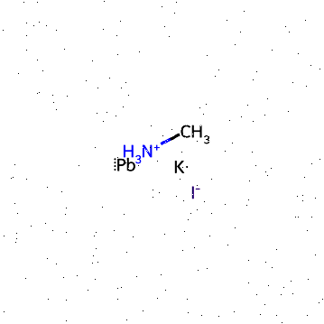 C[NH3+].[I-].[K].[Pb]